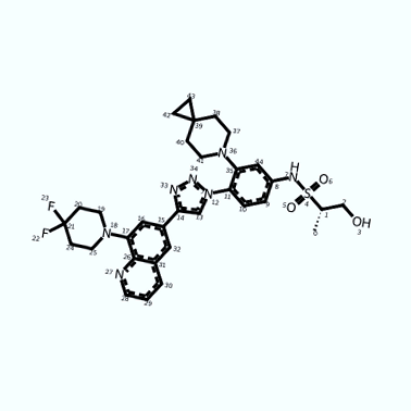 C[C@@H](CO)S(=O)(=O)Nc1ccc(-n2cc(-c3cc(N4CCC(F)(F)CC4)c4ncccc4c3)nn2)c(N2CCC3(CC2)CC3)c1